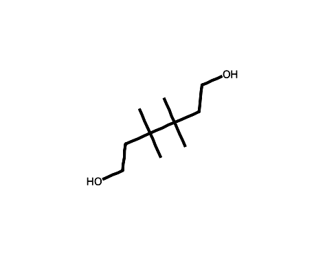 CC(C)(CCO)C(C)(C)CCO